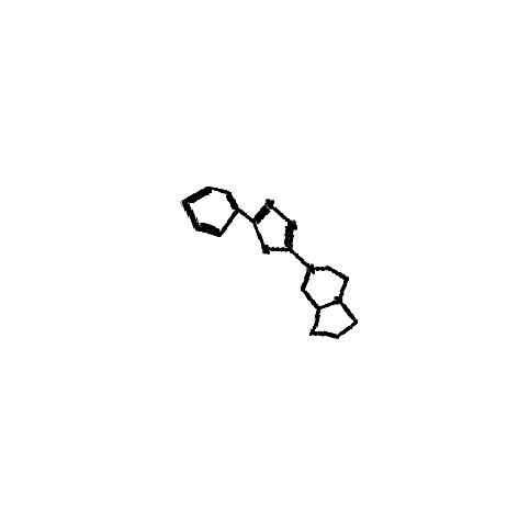 c1ccc(-c2nnc(N3CCN4CCCC4C3)s2)cc1